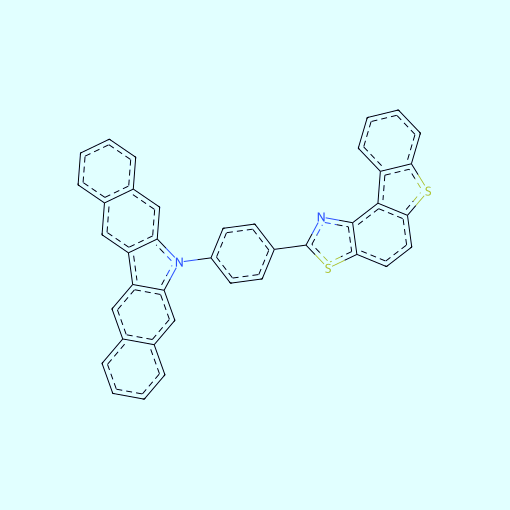 c1ccc2cc3c(cc2c1)c1cc2ccccc2cc1n3-c1ccc(-c2nc3c(ccc4sc5ccccc5c43)s2)cc1